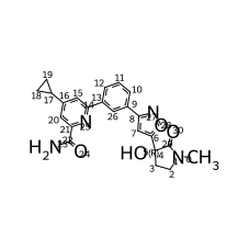 CN1CC[C@@](O)(c2cc(-c3cccc(-c4cc(C5CC5)cc(C(N)=O)n4)c3)no2)C1=O